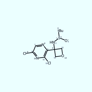 CC(C)(C)[S+]([O-])NC1(c2ncc(Cl)nc2Cl)COC1